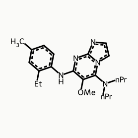 CCCN(CCC)c1c(OC)c(Nc2ccc(C)cc2CC)nc2nccn12